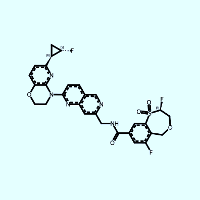 O=C(NCc1cc2nc(N3CCOc4ccc([C@H]5C[C@@H]5F)nc43)ccc2cn1)c1cc(F)c2c(c1)S(=O)(=O)[C@@H](F)COC2